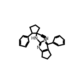 N#CC1(Nc2nc3c(c(-c4ccccc4)n2)CCC3)CCCC1c1ccccc1